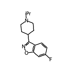 CC(C)N1CCC(c2noc3cc(F)ccc23)CC1